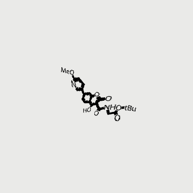 COc1ccc(-c2ccc3c(O)c(C(=O)NCC(=O)OC(C)(C)C)c(=O)oc3c2)cn1